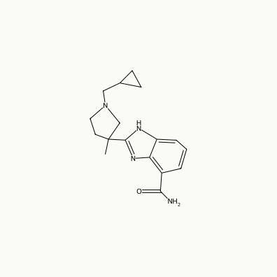 CC1(c2nc3c(C(N)=O)cccc3[nH]2)CCN(CC2CC2)C1